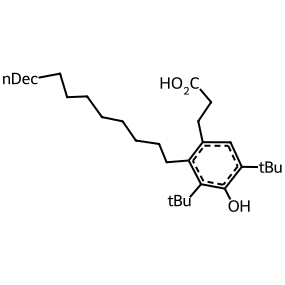 CCCCCCCCCCCCCCCCCCc1c(CCC(=O)O)cc(C(C)(C)C)c(O)c1C(C)(C)C